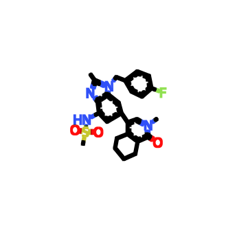 Cc1nc2c(NS(C)(=O)=O)cc(-c3cn(C)c(=O)c4c3CCCC4)cc2n1Cc1ccc(F)cc1